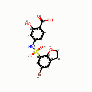 O=C(O)c1ccc(NS(=O)(=O)c2cc(Br)cc3c2OCC3)cc1O